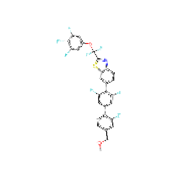 COCc1ccc(-c2cc(F)c(-c3ccc4nc(C(F)(F)Oc5cc(F)c(F)c(F)c5)sc4c3)c(F)c2)c(F)c1